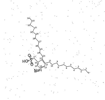 CCCCCCCCCCCCc1cccc(CS(=O)(=O)O)c1CCCCCCCCCCCC.[NaH]